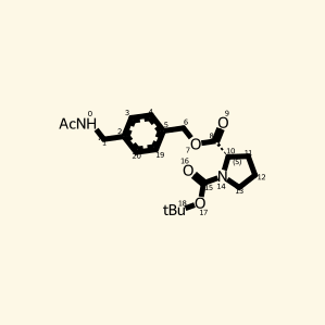 CC(=O)N[CH]c1ccc(COC(=O)[C@@H]2CCCN2C(=O)OC(C)(C)C)cc1